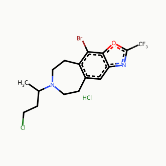 CC(CCCl)N1CCc2cc3nc(C(F)(F)F)oc3c(Br)c2CC1.Cl